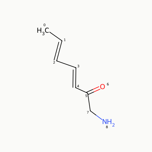 C/C=C/C=C/C(=O)CN